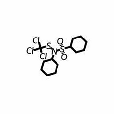 O=S(=O)(C1CCCCC1)N(SC(Cl)(Cl)Cl)C1CCCCC1